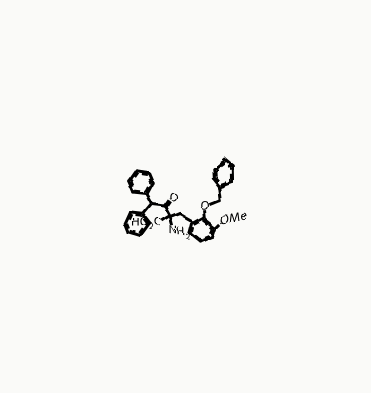 COc1cccc(CC(N)(C(=O)O)C(=O)C(c2ccccc2)c2ccccc2)c1OCc1ccccc1